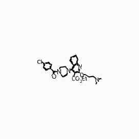 CCOC(=O)c1c(OCCCN(C)C)nc2ccccc2c1N1CCN(C(=O)c2ccc(Cl)cc2)CC1